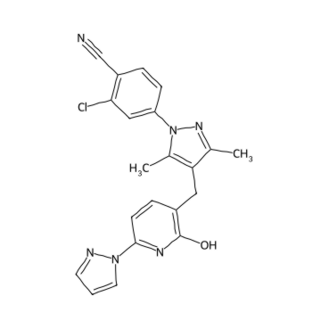 Cc1nn(-c2ccc(C#N)c(Cl)c2)c(C)c1Cc1ccc(-n2cccn2)nc1O